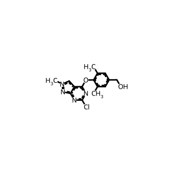 Cc1cc(CO)cc(C)c1Oc1nc(Cl)nc2nn(C)cc12